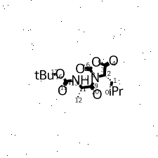 CC(C)C[C@H]1C(=O)OC(=O)N1C(=O)[C@H](C)NC(=O)OC(C)(C)C